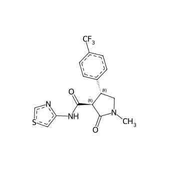 CN1C[C@@H](c2ccc(C(F)(F)F)cc2)[C@H](C(=O)Nc2cscn2)C1=O